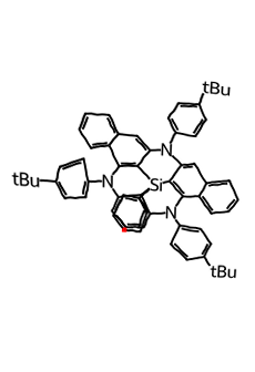 CC(C)(C)c1ccc(N2c3cc4ccccc4c4c3[Si]3(c5ccccc5)c5c(cccc5N(c5ccc(C(C)(C)C)cc5)c5c3c2cc2ccccc52)N4c2ccc(C(C)(C)C)cc2)cc1